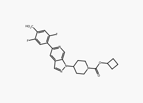 O=C(O)c1cc(F)c(-c2cc3cnn(C4CCN(C(=O)OC5CCC5)CC4)c3cn2)cc1F